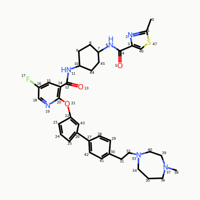 Cc1nc(C(=O)NC2CCC(NC(=O)c3cc(F)cnc3Oc3cccc(-c4ccc(CCN5CCCN(C)CC5)cc4)c3)CC2)cs1